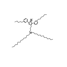 CCCCCCCCCCCC[CH2][Ni][CH2]CCCCCCCCCCCC.CCCCCCc1cccc(C2=C(CCCC)C=C(c3cccc(CCCCC)c3)[N+]2=[N-])c1